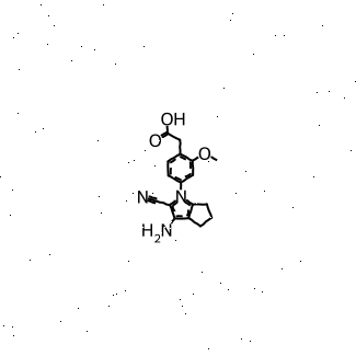 COc1cc(-n2c(C#N)c(N)c3c2CCC3)ccc1CC(=O)O